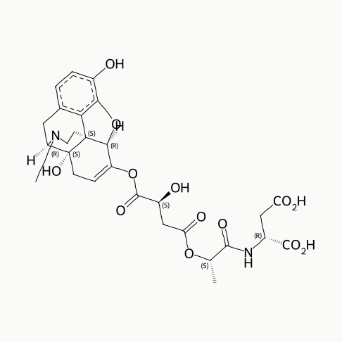 C[C@H](OC(=O)C[C@H](O)C(=O)OC1=CC[C@@]2(O)[C@H]3Cc4ccc(O)c5c4[C@@]2(CCN3C)[C@H]1O5)C(=O)N[C@H](CC(=O)O)C(=O)O